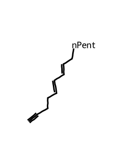 C#CCCC=CC=CCCCCCC